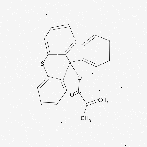 C=C(C)C(=O)OC1(c2ccccc2)c2ccccc2Sc2ccccc21